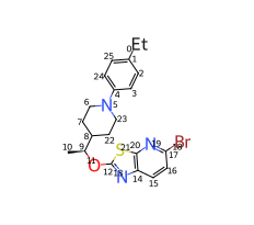 CCc1ccc(N2CCC([C@H](C)Oc3nc4ccc(Br)nc4s3)CC2)cc1